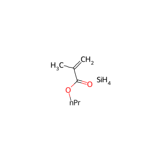 [CH2]CCOC(=O)C(=C)C.[SiH4]